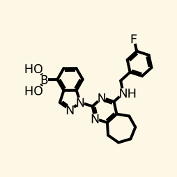 OB(O)c1cccc2c1cnn2-c1nc2c(c(NCc3cccc(F)c3)n1)CCCCC2